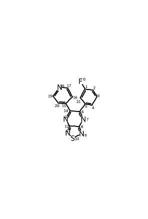 Fc1cccc(-c2nc3nsnc3nc2-c2ccncc2)c1